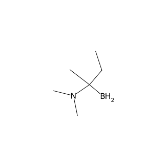 BC(C)(CC)N(C)C